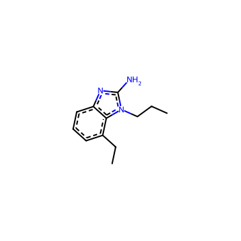 CCCn1c(N)nc2cccc(CC)c21